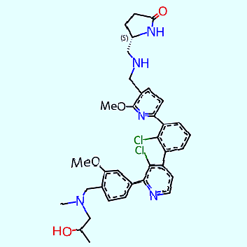 COc1cc(-c2nccc(-c3cccc(-c4ccc(CNC[C@@H]5CCC(=O)N5)c(OC)n4)c3Cl)c2Cl)ccc1CN(C)CC(C)O